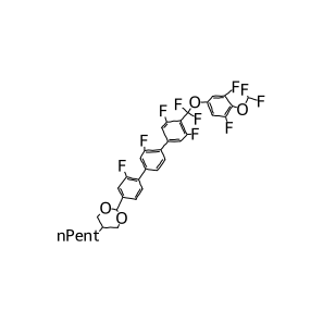 CCCCCC1COC(c2ccc(-c3ccc(-c4cc(F)c(C(F)(F)Oc5cc(F)c(OC(F)F)c(F)c5)c(F)c4)c(F)c3)c(F)c2)OC1